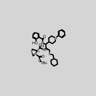 CC(C)(C)OC(=O)N1CSC[C@H]1C(=O)NC(CSCC1CCCCC1)C(NC(=O)c1ccccc1O)C1CCN(c2ccccc2)CC1